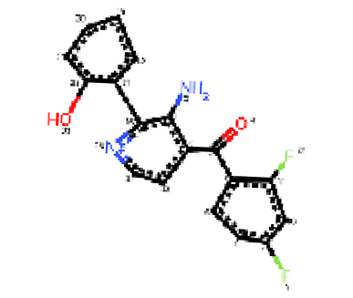 Nc1c(C(=O)c2ccc(F)cc2F)ccnc1-c1ccccc1O